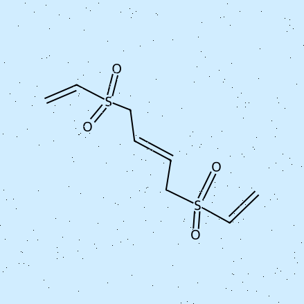 C=CS(=O)(=O)CC=CCS(=O)(=O)C=C